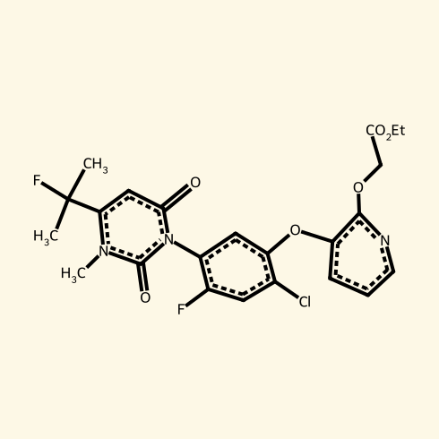 CCOC(=O)COc1ncccc1Oc1cc(-n2c(=O)cc(C(C)(C)F)n(C)c2=O)c(F)cc1Cl